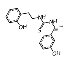 C[C@@H](NC(=S)NCCc1ccccc1O)c1cccc(O)c1